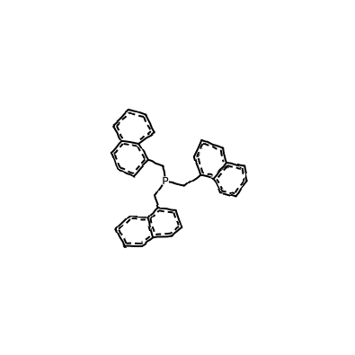 c1ccc2c(CP(Cc3cccc4ccccc34)Cc3cccc4ccccc34)cccc2c1